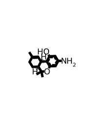 CC1=C[C@H]2c3c(O)cc(N)cc3OC(C)(C)[C@H]2CC1